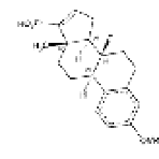 COc1ccc2c(c1)CC[C@@H]1[C@@H]2CC[C@]2(C)C(C(=O)O)=CC[C@@H]12